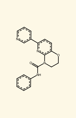 O=C(Nc1ccccc1)N1CCOc2ccc(-c3cccnc3)nc21